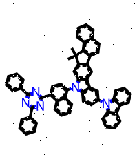 CC1(C)c2cc3c(cc2-c2ccc4ccccc4c21)c1cc(-n2c4ccccc4c4ccccc42)ccc1n3-c1ccc(-c2nc(-c3ccccc3)nc(-c3ccccc3)n2)c2ccccc12